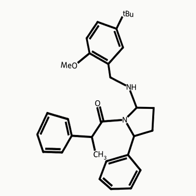 COc1ccc(C(C)(C)C)cc1CNC1CCC(c2ccccc2)N1C(=O)C(C)c1ccccc1